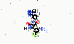 CC(c1cc(N)cc(C(F)(F)F)c1)c1cc(=O)n(-c2cccc(-c3nnnn3C)c2)nc1C(N)=O